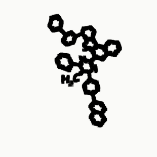 C=C1C(c2ccccc2)=NC(c2cc3ccccc3c3c2sc2c(-c4cccc(-c5ccccc5)c4)cccc23)=NC1c1ccc(-c2ccc3ccccc3c2)cc1